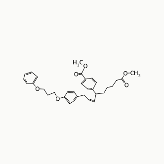 COC(=O)CCCCC(/C=C\Cc1ccc(OCCCOc2ccccc2)cc1)c1ccc(C(=O)OC)cc1